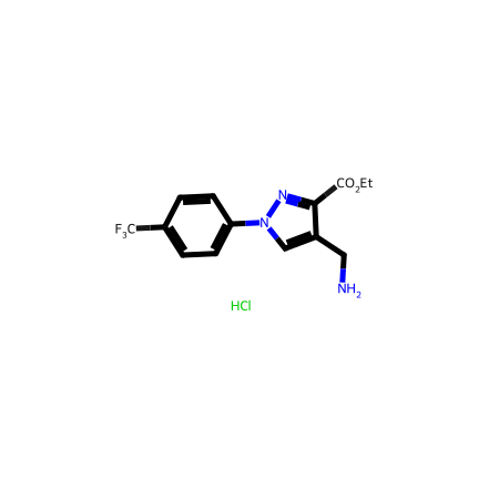 CCOC(=O)c1nn(-c2ccc(C(F)(F)F)cc2)cc1CN.Cl